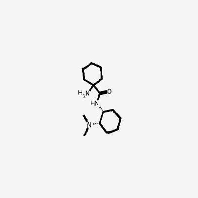 CN(C)[C@H]1CCCC[C@H]1NC(=O)C1(N)CCCCC1